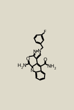 Cc1nn(Cc2cccc(F)c2)cc1-c1c(C(N)=O)nc2ccccc2c1C(N)=O